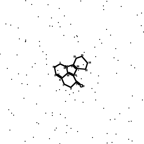 O=C1CCC2=C[CH]Cn3c4c(c1c32)CCCC4